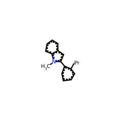 CC(C)c1ccccc1-c1cc2ccccc2n1C